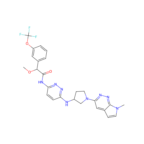 COC(C(=O)Nc1ccc(NC2CCN(c3cc4ccn(C)c4nn3)C2)nn1)c1cccc(OC(F)(F)F)c1